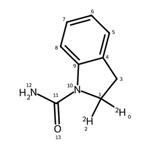 [2H]C1([2H])Cc2ccccc2N1C(N)=O